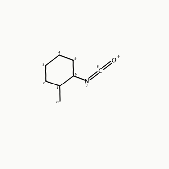 CC1CCCCC1N=C=O